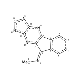 CO/N=C1/c2ccccc2-c2nc3nonc3nc21